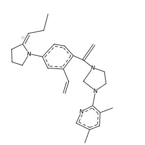 C=Cc1cc(N2CCC/C2=C/CC)ccc1C(=C)N1CCN(c2ncc(C)cc2C)C1